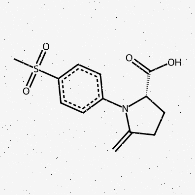 C=C1CC[C@@H](C(=O)O)N1c1ccc(S(C)(=O)=O)cc1